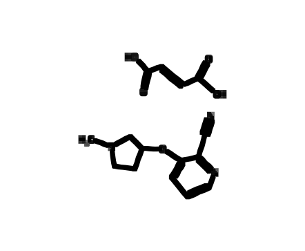 CN1CCC(Oc2cccnc2C#N)C1.O=C(O)/C=C/C(=O)O